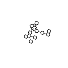 c1ccc(-c2c(-c3ccccc3)c3cc(N(c4ccc(-c5ccc(-c6cccc7ccccc67)cc5)cc4)c4cccc5c4sc4ccccc45)ccc3c3ccccc23)cc1